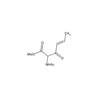 C/C=C/C(=O)C(NC(C)=O)C(=O)OC